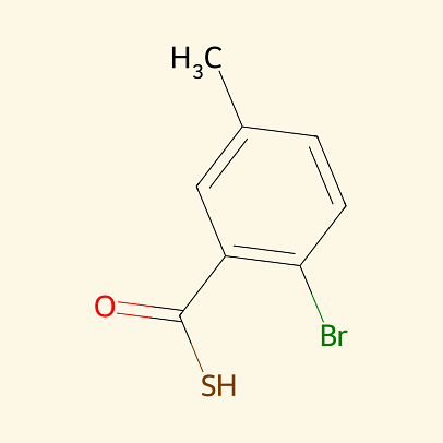 Cc1ccc(Br)c(C(=O)S)c1